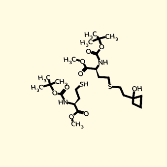 COC(=O)[C@H](CCS)NC(=O)OC(C)(C)C.COC(=O)[C@H](CCSCCC1(O)CCC1)NC(=O)OC(C)(C)C